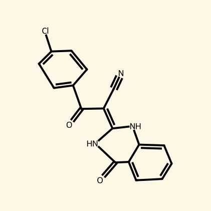 N#CC(C(=O)c1ccc(Cl)cc1)=C1NC(=O)c2ccccc2N1